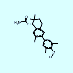 CCOc1c(C)cc(-c2cc3c(cc2F)[C@H](OC(N)=O)C(C)(C)CC3)cc1C